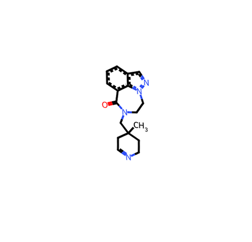 CC1(CN2CCn3ncc4cccc(c43)C2=O)CC=NCC1